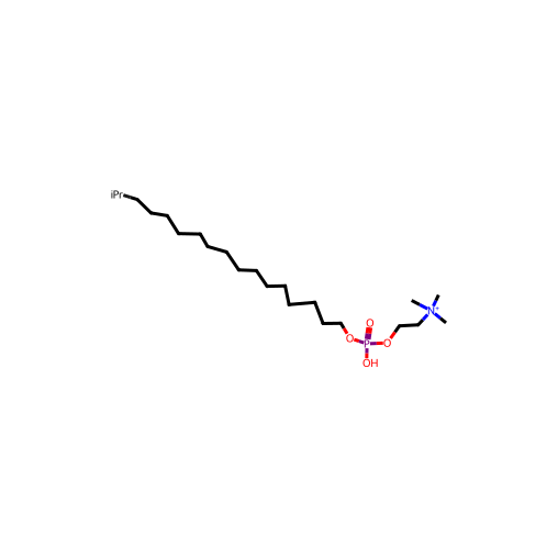 CC(C)CCCCCCCCCCCCCCCOP(=O)(O)OCC[N+](C)(C)C